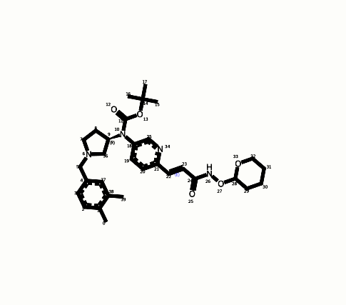 Cc1ccc(CN2CC[C@@H](N(C(=O)OC(C)(C)C)c3ccc(/C=C/C(=O)NOC4CCCCO4)nc3)C2)cc1C